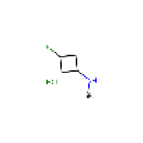 CC(C)NC1CC(F)C1.Cl